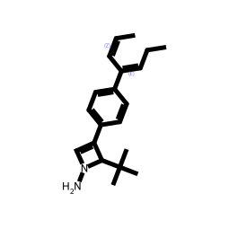 C/C=C\C(=C/CC)c1ccc(C2=CN(N)C2C(C)(C)C)cc1